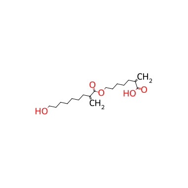 C=C(CCCCCOC(=O)C(=C)CCCCCCCO)C(=O)O